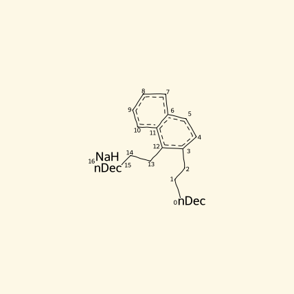 CCCCCCCCCCCCc1ccc2ccccc2c1CCCCCCCCCCCC.[NaH]